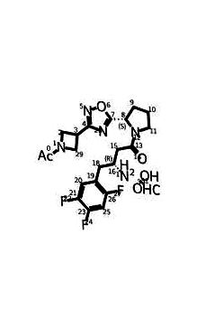 CC(=O)N1CC(c2noc([C@@H]3CCCN3C(=O)C[C@H](N)Cc3cc(F)c(F)cc3F)n2)C1.O=CO